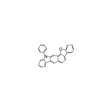 c1ccc(-n2c3ccccc3c3cc4ccc5c6ccccc6oc5c4cc32)cc1